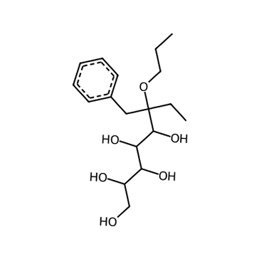 CCCOC(CC)(Cc1ccccc1)C(O)C(O)C(O)C(O)CO